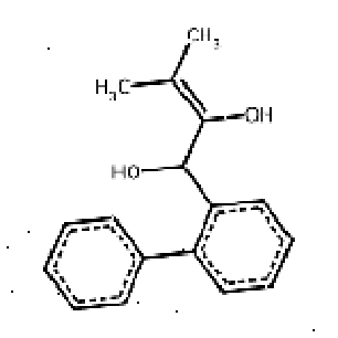 CC(C)=C(O)C(O)c1ccccc1-c1ccccc1